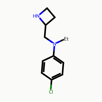 CCN(CC1CCN1)c1ccc(Cl)cc1